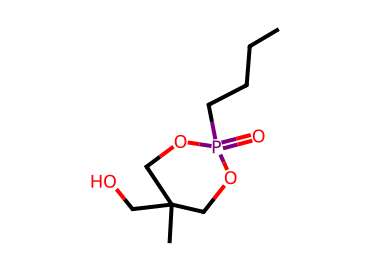 CCCCP1(=O)OCC(C)(CO)CO1